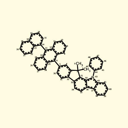 CC1(C)c2cc(-c3c4ccccc4c(-c4cccc5ccccc45)c4ccccc34)ccc2-c2ccc3c4ccccc4n(-c4ccccc4)c3c21